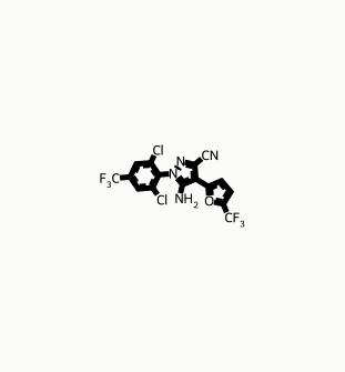 N#Cc1nn(-c2c(Cl)cc(C(F)(F)F)cc2Cl)c(N)c1-c1ccc(C(F)(F)F)o1